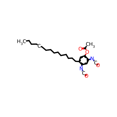 CCCCCCCCCCCCCCCc1cc(OC(C)=O)c(N=C=O)cc1N=C=O